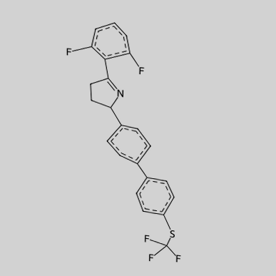 Fc1cccc(F)c1C1=NC(c2ccc(-c3ccc(SC(F)(F)F)cc3)cc2)CC1